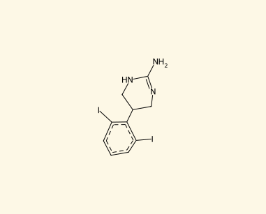 NC1=NCC(c2c(I)cccc2I)CN1